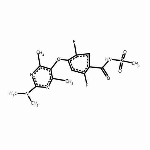 Cc1nc(N(C)C)nc(C)c1Oc1cc(F)c(C(=O)NS(C)(=O)=O)cc1F